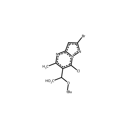 Cc1nc2cc(Br)nn2c(Cl)c1C(OC(C)(C)C)C(=O)O